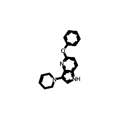 C1=CCN(c2c[nH]c3ccc(Oc4ccccc4)nc23)CC1